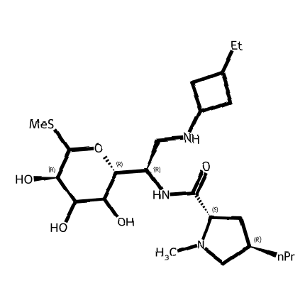 CCC[C@@H]1C[C@@H](C(=O)N[C@H](CNC2CC(CC)C2)[C@H]2OC(SC)[C@H](O)C(O)C2O)N(C)C1